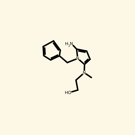 CN(CCO)c1ccc(N)n1Cc1ccccc1